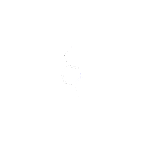 FC(F)(F)c1ccc(CI)cn1